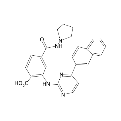 O=C(NN1CCCC1)c1ccc(C(=O)O)c(Nc2nccc(-c3ccc4ccccc4c3)n2)c1